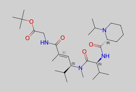 C/C(=C\[C@H](C(C)C)N(C)C(=O)[C@@H](NC(=O)[C@H]1CCCCN1C(C)C)C(C)C)C(=O)NCC(=O)OC(C)(C)C